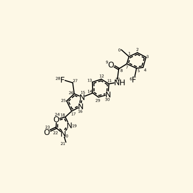 Cc1cccc(F)c1C(=O)Nc1ccc(-n2nc(-c3nn(C)c(=O)o3)cc2CF)cn1